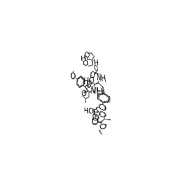 CCOC(=O)[C@H](C)OP(=O)(O)COc1ccc(C[C@H](NC(=O)O[C@H]2CO[C@H]3OCC[C@H]32)[C@H](O)NC(CC(C)C)S(=O)(=O)c2ccc(OC)cc2)cc1